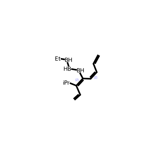 C=C/C=C\C(BBBCC)=C(/C=C)C(C)C